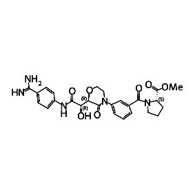 COC(=O)[C@@H]1CCCN1C(=O)c1cccc(N2CCO[C@H]([C@@H](O)C(=O)Nc3ccc(C(=N)N)cc3)C2=O)c1